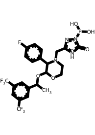 CC(OC1OCCN(Cc2nn(P(O)O)c(=O)[nH]2)C1c1ccc(F)cc1)c1cc(C(F)(F)F)cc(C(F)(F)F)c1